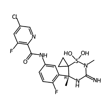 CN1C(=N)N[C@](C)(c2cc(NC(=O)c3ncc(Cl)cc3F)ccc2F)C2(CC2)S1(O)O